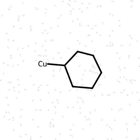 [Cu][CH]1CCCCC1